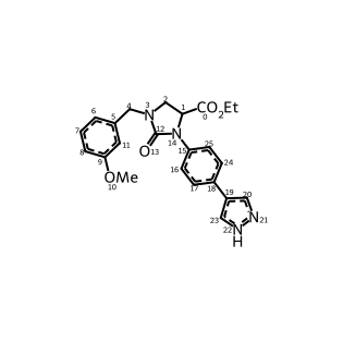 CCOC(=O)C1CN(Cc2cccc(OC)c2)C(=O)N1c1ccc(-c2cn[nH]c2)cc1